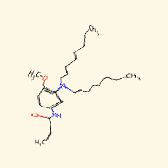 CCCCCCCCN(CCCCCCCC)c1cc(NC(=O)CC)ccc1OC